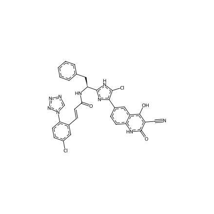 N#Cc1c(O)c2cc(-c3nc([C@H](Cc4ccccc4)NC(=O)C=Cc4cc(Cl)ccc4-n4cnnn4)[nH]c3Cl)ccc2[nH]c1=O